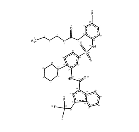 CCCCOC(=O)Cc1cc(F)ccc1NS(=O)(=O)c1ccc(N2CCCCC2)c(NC(=O)c2nn(CC(F)(F)F)c3ccccc23)c1